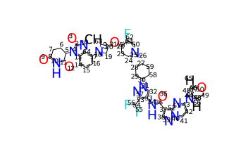 Cn1c(=O)n(C2CCC(=O)NC2=O)c2cccc(N3CC(O[C@H]4CCN(C[C@H]5CC[C@H](n6cc(NC(=O)c7cnn8ccc(N9C[C@H]%10C[C@@H]9CO%10)nc78)c(C(F)F)n6)CC5)C[C@@H]4F)C3)c21